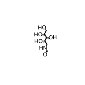 O=CNC[C@@H](O)[C@@H](O)[C@@H](O)CO